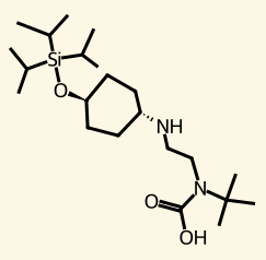 CC(C)[Si](O[C@H]1CC[C@H](NCCN(C(=O)O)C(C)(C)C)CC1)(C(C)C)C(C)C